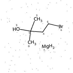 CC(C)(O)CCBr.[MgH2]